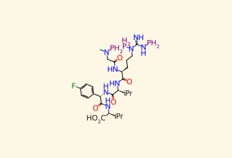 CC(C)[C@H](NC(=O)[C@@H](NC(=O)[C@@H](NC(=O)[C@H](CCCN(P)C(=N)NP)NC(=O)CN(C)P)C(C)C)c1ccc(F)cc1)C(=O)O